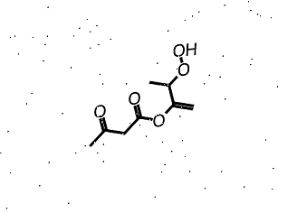 C=C(OC(=O)CC(C)=O)C(C)OO